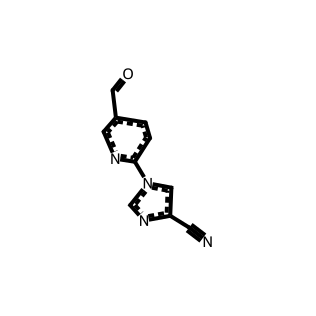 N#Cc1cn(-c2ccc(C=O)cn2)cn1